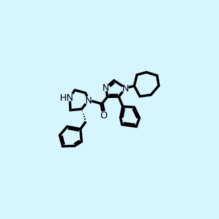 O=C(c1ncn(C2CCCCCC2)c1-c1ccccc1)N1CCNC[C@H]1Cc1ccccc1